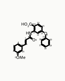 COc1cccc(/C=C/C(=O)Nc2cc(Oc3ccccc3)ccc2C(=O)O)c1